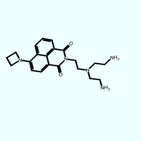 NCCN(CCN)CCN1C(=O)c2cccc3c(N4CCC4)ccc(c23)C1=O